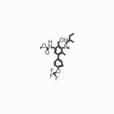 CC/C(C)=C/N(C)c1c(C)c(-c2ccc(OC(F)(F)F)cc2)cc(NC(=O)OC)c1CO